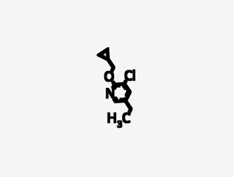 CCc1cnc(OCC2CC2)c(Cl)c1